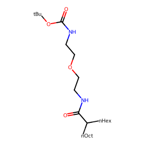 CCCCCCCCC(CCCCCC)C(=O)NCCOCCNC(=O)OC(C)(C)C